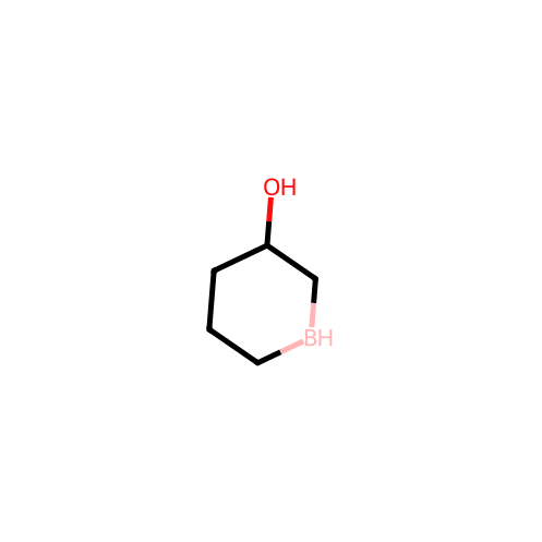 OC1CBCCC1